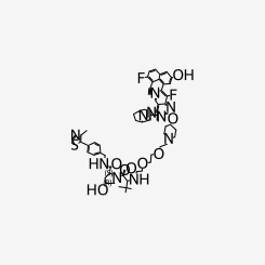 C#Cc1c(F)ccc2cc(O)cc(-c3ncc4c(N5CC6CCC(C5)N6)nc(OC5CCN(CCOCCOCC(=O)NC(C(=O)N6C[C@H](O)C[C@H]6C(=O)NCc6ccc(-c7scnc7C)cc6)C(C)(C)C)CC5)nc4c3F)c12